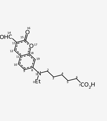 CCN(CCCCCC(=O)O)c1ccc2cc(C=O)c(=O)oc2c1